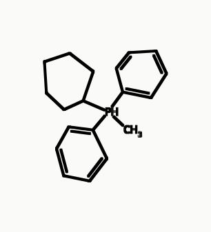 C[PH](c1ccccc1)(c1ccccc1)C1CCCCC1